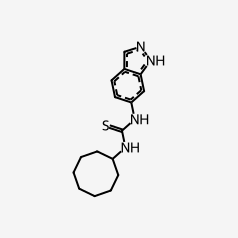 S=C(Nc1ccc2cn[nH]c2c1)NC1CCCCCCC1